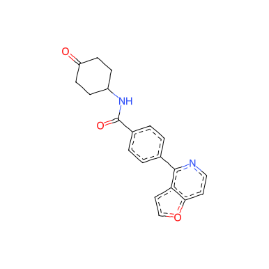 O=C1CCC(NC(=O)c2ccc(-c3nccc4occc34)cc2)CC1